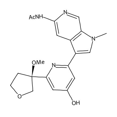 CO[C@]1(c2cc(O)cc(-c3cn(C)c4cnc(NC(C)=O)cc34)n2)CCOC1